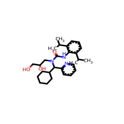 CC(C)c1cccc(C(C)C)c1NC(=O)N(CC(O)CO)C(c1ccccn1)C1CCCCC1